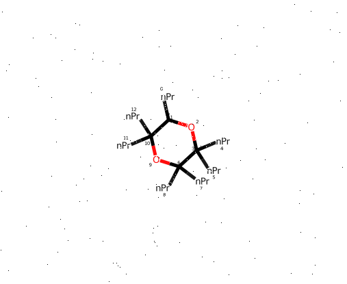 CCCC1OC(CCC)(CCC)C(CCC)(CCC)OC1(CCC)CCC